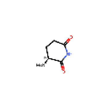 CN[C@H]1CCC(=O)NC1=O